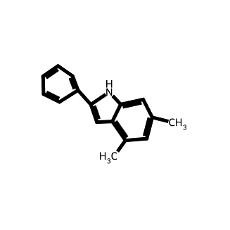 Cc1cc(C)c2cc(-c3ccccc3)[nH]c2c1